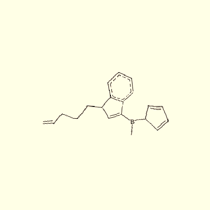 C=CCCCC1C=C(B(C)C2C=CC=C2)c2ccccc21